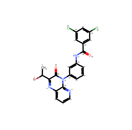 CC(Br)c1nc2cccnc2n(-c2cccc(NC(=O)c3cc(Cl)cc(Cl)c3)c2)c1=O